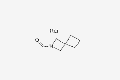 Cl.O=CN1CC2(CCC2)C1